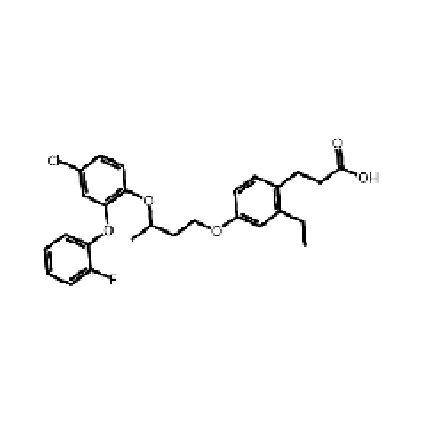 CCc1cc(OCCC(C)Oc2ccc(Cl)cc2Oc2ccccc2F)ccc1CCC(=O)O